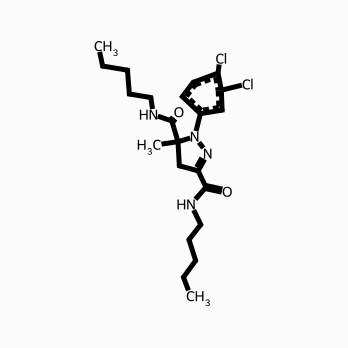 CCCCCNC(=O)C1=NN(c2ccc(Cl)c(Cl)c2)C(C)(C(=O)NCCCCC)C1